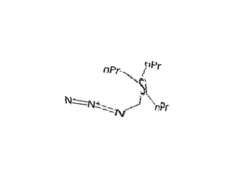 CCC[Si](CCC)(CCC)N=[N+]=[N-]